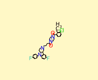 CCc1c(Cl)cccc1C(=O)N1CCN(C(=O)CCCN2CCC3C(C2)c2cc(F)ccc2N3c2ccc(F)cc2)CC1